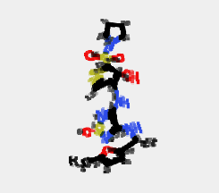 CC[C@@H](Nc1n[s+]([O-])nc1Nc1csc(S(=O)(=O)N2CCCC2)c1O)c1ccc(C)o1